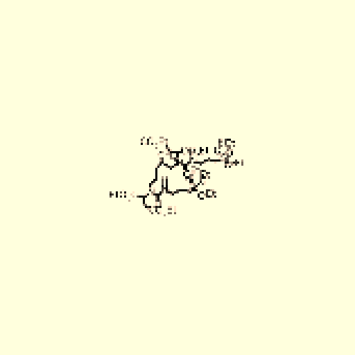 CCOC(=O)CC(C(=O)OCC)N(CCCC(C)CN(C(=O)NCCC[Si](OCC)(OCC)OCC)C(CC(=O)OCC)C(=O)OCC)C(=O)NCCC[Si](OCC)(OCC)OCC